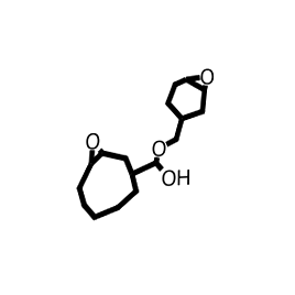 OC(OCC1CCC2OC2C1)C1CCCCCC2OC2C1